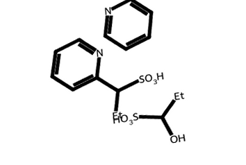 CCC(O)S(=O)(=O)O.CCC(c1ccccn1)S(=O)(=O)O.c1ccncc1